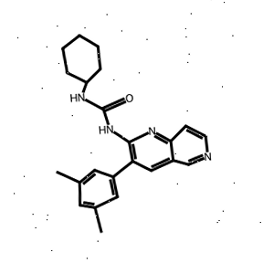 Cc1cc(C)cc(-c2cc3cnccc3nc2NC(=O)NC2CCCCC2)c1